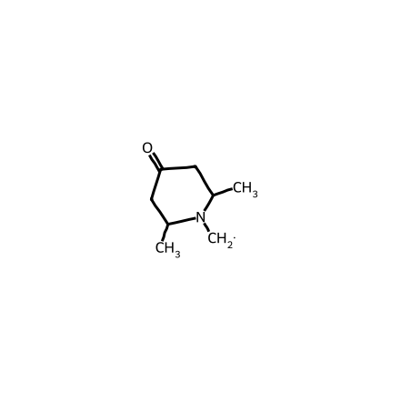 [CH2]N1C(C)CC(=O)CC1C